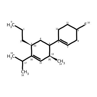 CCC[C@H]1CC(C2=CCC(F)CC2)[C@@H](C)C=C1C(C)C